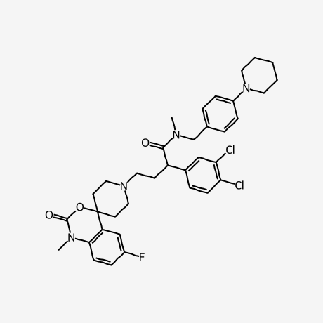 CN(Cc1ccc(N2CCCCC2)cc1)C(=O)C(CCN1CCC2(CC1)OC(=O)N(C)c1ccc(F)cc12)c1ccc(Cl)c(Cl)c1